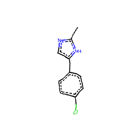 Cc1ncc(-c2ccc(Cl)cc2)[nH]1